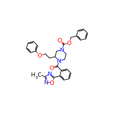 Cc1noc(-c2ccccc2C(=O)N2CCN(C(=O)OCc3ccccc3)CC2CCOc2ccccc2)n1